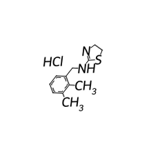 Cc1cccc(CNC2=NCCS2)c1C.Cl